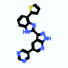 c1csc(-c2cccc3[nH]c(-c4n[nH]c5ncc(-c6cncnc6)cc45)nc23)c1